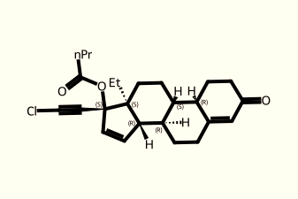 CCCC(=O)O[C@@]1(C#CCl)C=C[C@H]2[C@@H]3CCC4=CC(=O)CC[C@@H]4[C@H]3CC[C@@]21CC